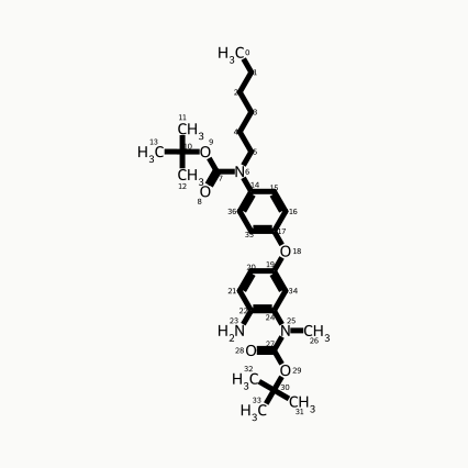 CCCCCCN(C(=O)OC(C)(C)C)c1ccc(Oc2ccc(N)c(N(C)C(=O)OC(C)(C)C)c2)cc1